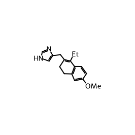 CCC1=C(Cc2c[nH]cn2)CCc2cc(OC)ccc21